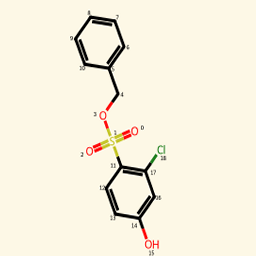 O=S(=O)(OCc1ccccc1)c1ccc(O)cc1Cl